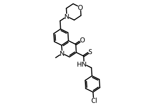 Cn1cc(C(=S)NCc2ccc(Cl)cc2)c(=O)c2cc(CN3CCOCC3)ccc21